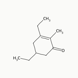 CCC1=C(C)C(=O)CC(CC)C1